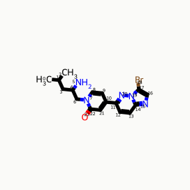 CC(C)CC(N)Cn1ccc(-c2ccc3ncc(Br)n3n2)cc1=O